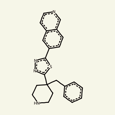 c1ccc(CC2(c3nnc(-c4ccc5cnccc5c4)s3)CCNCC2)cc1